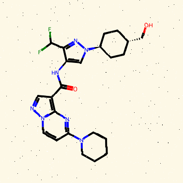 O=C(Nc1cn([C@H]2CC[C@H](CO)CC2)nc1C(F)F)c1cnn2ccc(N3CCCCC3)nc12